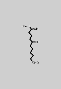 CCCCCC(O)CCCC(O)CCCCCC=O